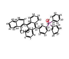 O=Cc1c(-c2c3ccccc3c(-c3cccc(P(=O)(c4ccccc4)c4ccccc4)c3)c3ccccc23)ccc2ccccc12